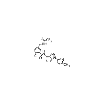 Cc1ccc(-n2ncc3c(NC(=O)c4cc(CNC(=O)C(F)(F)F)ccc4Cl)cccc32)cn1